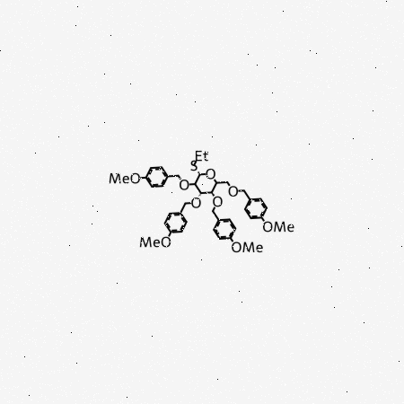 CCS[C@@H]1OC(COCc2ccc(OC)cc2)[C@@H](OCc2ccc(OC)cc2)[C@H](OCc2ccc(OC)cc2)C1OCc1ccc(OC)cc1